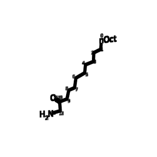 CCCCCCCCCCCCCCCCCC(=O)CN